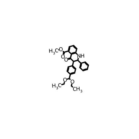 CCOC(OCC)c1ccc(C2C(=O)c3c(cccc3C(=O)OC)NC2c2ccccc2)cc1